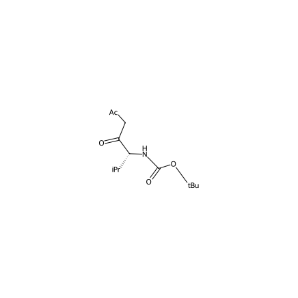 CC(=O)CC(=O)[C@H](NC(=O)OC(C)(C)C)C(C)C